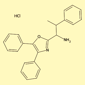 CC(c1ccccc1)C(N)c1nc(-c2ccccc2)c(-c2ccccc2)o1.Cl